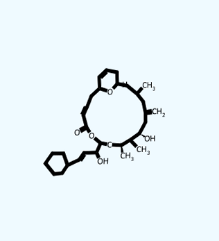 C=C1CC(C)C[C@@H]2CC=CC(C/C=C\C(=O)OC(C(O)/C=C/C3CCCCC3)C[C@H](C)C(C)[C@@H](O)C1)O2